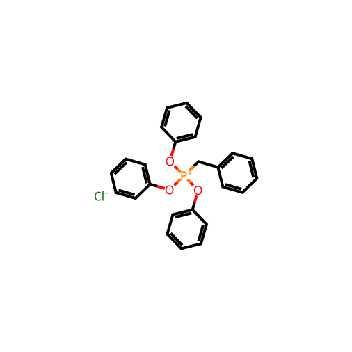 [Cl-].c1ccc(C[P+](Oc2ccccc2)(Oc2ccccc2)Oc2ccccc2)cc1